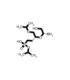 B[C@@H](CO)O[C@H](CCP(=O)(O)OC(C)C)COC(C)C